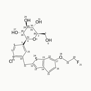 OC[C@H]1O[C@@H](c2ccc(Cl)c(Cc3cc4ccc(OCCF)cc4s3)c2)[C@H](O)[C@@H](O)[C@@H]1O